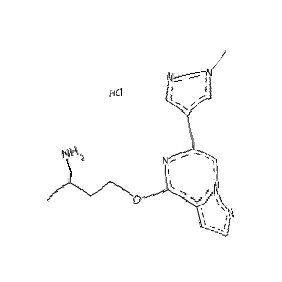 CC(N)CCOc1nc(-c2cnn(C)c2)cn2nccc12.Cl